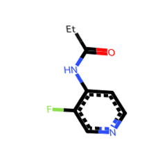 CCC(=O)Nc1ccncc1F